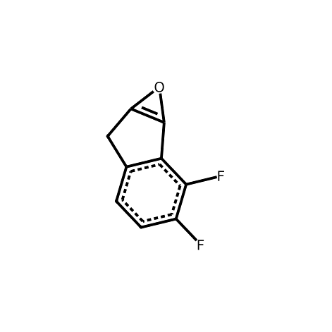 Fc1ccc2c(c1F)C1=C(C2)O1